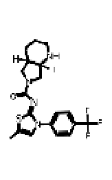 Cc1cn(-c2ccc(C(F)(F)F)cc2)c(=NC(=O)N2C[C@@H]3CCCN[C@@H]3C2)s1